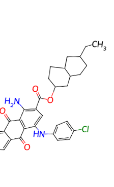 CCC1CCC2CC(OC(=O)c3cc(Nc4ccc(Cl)cc4)c4c(c3N)C(=O)c3ccccc3C4=O)CCC2C1